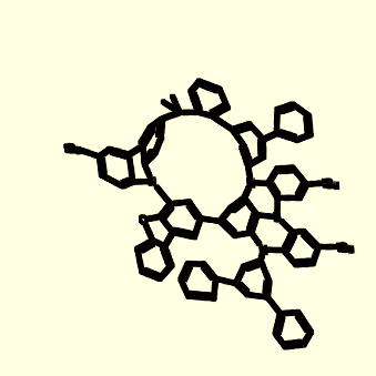 CC(C)(C)c1ccc2c(c1)B1c3cc(C(C)(C)C)ccc3N3c4cc(-c5ccccc5)cc(c4)-c4ccccc4C(C)(C)c4ccc5c(c4)c4cc(C(C)(C)C)ccc4n5-c4cc(cc5c4oc4ccccc45)-c4cc(c1c3c4)N2c1cc(-c2ccccc2)cc(-c2ccccc2)c1